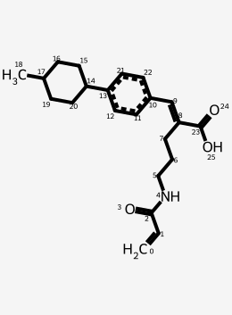 C=CC(=O)NCCC/C(=C\c1ccc(C2CCC(C)CC2)cc1)C(=O)O